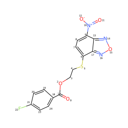 O=C(OCCSc1ccc([N+](=O)[O-])c2nonc12)c1ccc(F)cc1